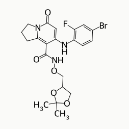 CC1(C)OCC(CONC(=O)c2c(Nc3ccc(Br)cc3F)cc(=O)n3c2CCC3)O1